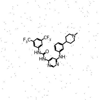 CN1CCC(c2cccc(Nc3cc(NC(=O)Nc4cc(C(F)(F)F)cc(C(F)(F)F)c4)ncn3)c2)CC1